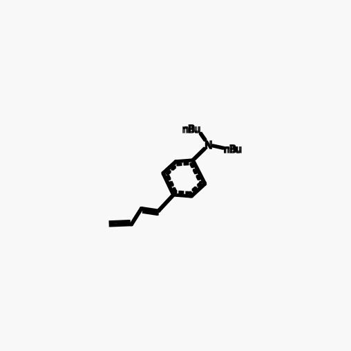 C=CC=Cc1ccc(N(CCCC)CCCC)cc1